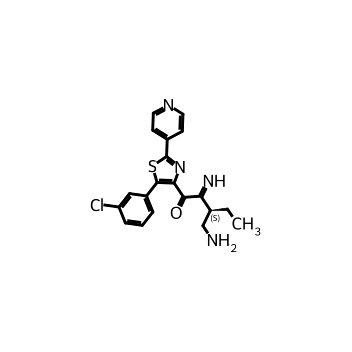 CC[C@@H](CN)C(=N)C(=O)c1nc(-c2ccncc2)sc1-c1cccc(Cl)c1